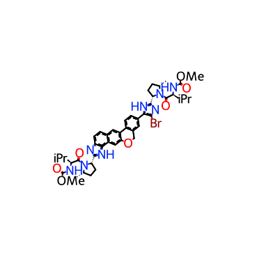 COC(=O)N[C@H](C(=O)N1[C@@H](C)CC[C@H]1c1nc(Br)c(-c2ccc3c(c2)COc2cc4c(ccc5nc([C@@H]6CC[C@H](C)N6C(=O)[C@@H](NC(=O)OC)C(C)C)[nH]c54)cc2-3)[nH]1)C(C)C